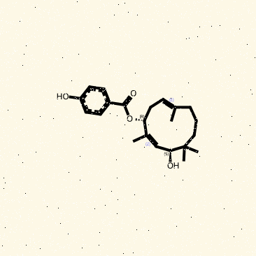 C/C1=C/[C@H](O)C(C)(C)CCC/C(C)=C/C[C@H]1OC(=O)c1ccc(O)cc1